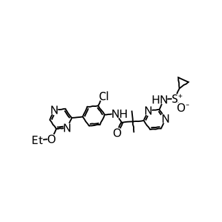 CCOc1cncc(-c2ccc(NC(=O)C(C)(C)c3ccnc(N[S+]([O-])C4CC4)n3)c(Cl)c2)n1